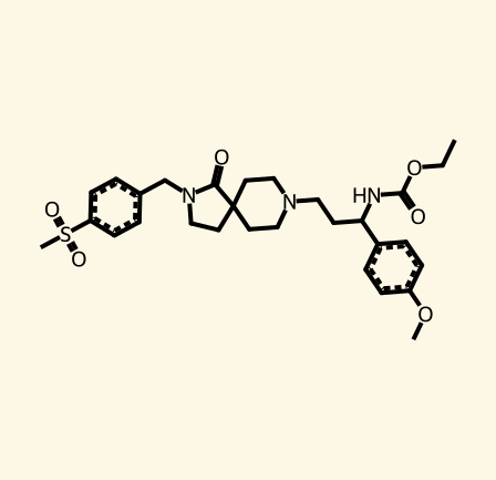 CCOC(=O)NC(CCN1CCC2(CC1)CCN(Cc1ccc(S(C)(=O)=O)cc1)C2=O)c1ccc(OC)cc1